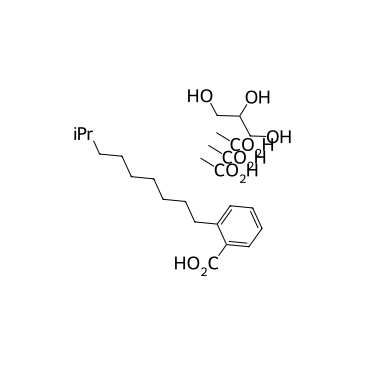 CC(=O)O.CC(=O)O.CC(=O)O.CC(C)CCCCCCCc1ccccc1C(=O)O.OCC(O)CO